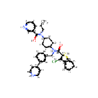 CCCN(C(=O)c1cccnc1)C1CCC(N(Cc2cccc(-c3ccncc3)c2)C(=O)c2sc3ccccc3c2Cl)CC1